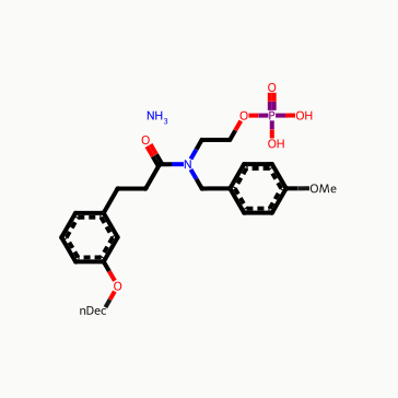 CCCCCCCCCCOc1cccc(CCC(=O)N(CCOP(=O)(O)O)Cc2ccc(OC)cc2)c1.N